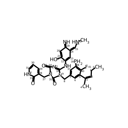 CC/C=C(/C)c1cc(Cn2c(NC3=C/C(=C/NC)C(=N)C=C3O)nc(=O)n(Cc3ccc[nH]c3=O)c2=O)cc(P)c1F